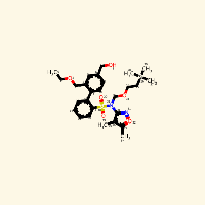 CCOCc1cc(CO)ccc1-c1ccccc1S(=O)(=O)N(COCC[Si](C)(C)C)c1noc(C)c1C